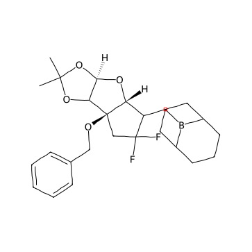 CC1(C)OC2[C@H](O[C@@H]3C(CB4C5CCCC4CCC5)C(F)(F)C[C@]23OCc2ccccc2)O1